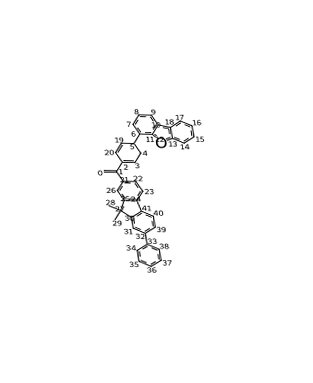 C=C(C1=CCC(c2cccc3c2oc2ccccc23)C=C1)c1ccc2c(c1)C(C)(C)c1cc(-c3ccccc3)ccc1-2